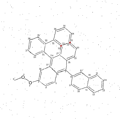 COOc1ccc2c(-c3ccc4ccccc4c3)c3ccccc3c(-c3ccccc3-c3ccccc3)c2c1